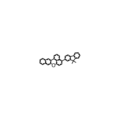 CC1(C)c2ccccc2-c2ccc(-c3ccc4c5c(cccc35)-c3cc5ccccc5cc3O4)cc21